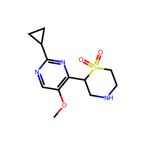 COc1cnc(C2CC2)nc1C1CNCCS1(=O)=O